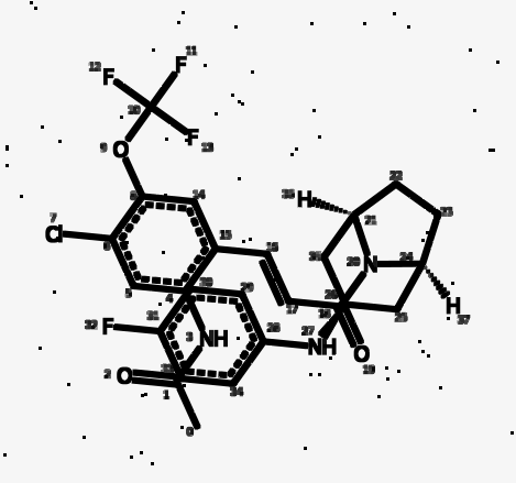 CC(=O)Nc1cc(Cl)c(OC(F)(F)F)cc1/C=C/C(=O)N1[C@@H]2CC[C@H]1C[C@@H](Nc1ccc(F)cc1)C2